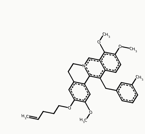 C=CCCCOc1cc2c(cc1OC)-c1c(Cc3cccc(C)c3)c3ccc(OC)c(OC)c3c[n+]1CC2